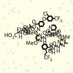 CCOC(=O)C(C)OC(=O)c1cc(Oc2ccc(C(F)(F)F)cc2Cl)ccc1[N+](=O)[O-].CCS(=O)(=O)c1cccnc1S(=O)(=O)NC(=O)Nc1nc(OC)cc(OC)n1.COc1nc(C)nc(NC(=O)NS(=O)(=O)c2ccccc2CCC(F)(F)F)n1.O=C(O)CNCP(=O)(O)O